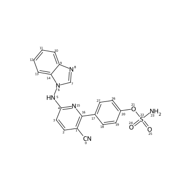 N#Cc1ccc(Nn2cnc3ccccc32)nc1-c1ccc(OS(N)(=O)=O)cc1